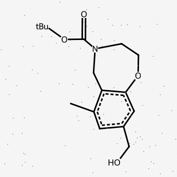 Cc1cc(CO)cc2c1CN(C(=O)OC(C)(C)C)CCO2